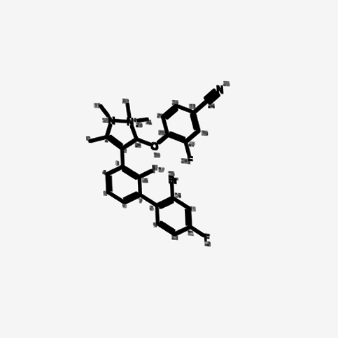 CC1=C(c2cccc(-c3ccc(F)cc3Br)c2F)C(Oc2ccc(C#N)cc2F)[N+](C)(C)N1C